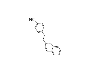 N#Cc1ccc(CCc2ccc3ccccc3c2)cc1